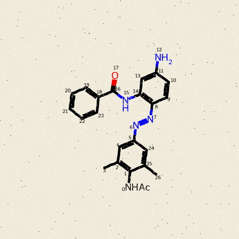 CC(=O)Nc1c(C)cc(N=Nc2ccc(N)cc2NC(=O)c2ccccc2)cc1C